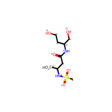 CS(=O)(=O)NC(CC(=O)NC(CO)CCO)C(=O)O